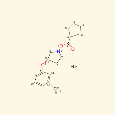 O=C(ON1CC[C@@H](Oc2cccc(C(F)(F)F)c2)C1)C1CCCC1.[Li]